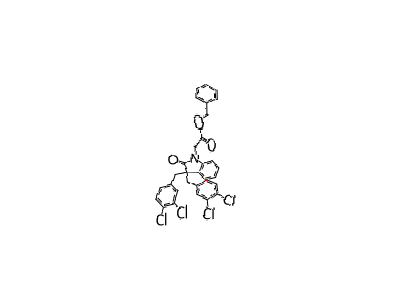 O=C(CN1C(=O)C(Cc2ccc(Cl)c(Cl)c2)(Cc2ccc(Cl)c(Cl)c2)c2ccccc21)OCc1ccccc1